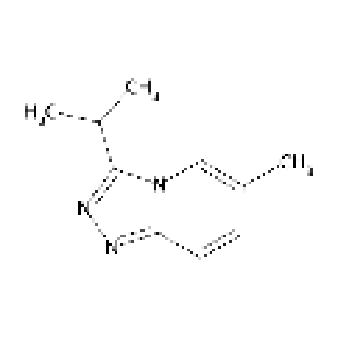 Cc1ccc2nnc(C(C)C)n2c1